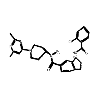 CCN(C(=O)c1ccc2c(c1)[C@H](NC(=O)c1ccccc1Cl)CC2)C1CCN(c2cc(C)nc(C)n2)CC1